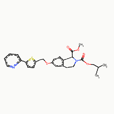 COC(=O)C1c2ccc(OCc3ccc(-c4ccccn4)s3)cc2CCN1C(=O)OCC(C)C